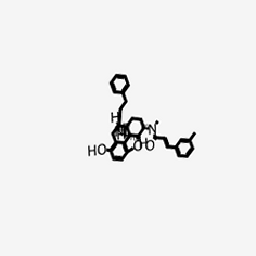 Cc1cccc(C=CC(=O)N(C)[C@@H]2CC[C@H]3[C@H]4Cc5c(O)ccc6c5[C@@]3(CCN4CCc3ccccc3)[C@H]2O6)c1